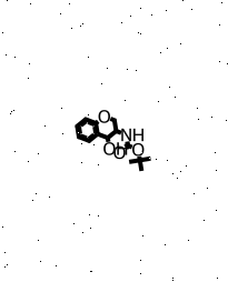 CC(C)(C)OC(=O)NC1COc2ccccc2C1O